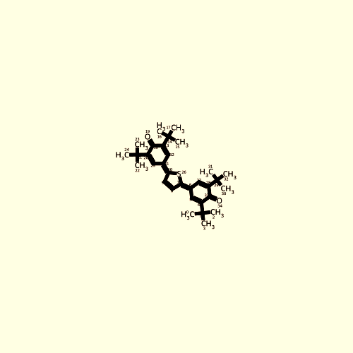 CC(C)(C)C1=CC(=c2ccc(=C3C=C(C(C)(C)C)C(=O)C(C(C)(C)C)=C3)s2)C=C(C(C)(C)C)C1=O